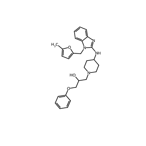 Cc1ccc(Cn2c(NC3CCN(CC(O)COc4ccccc4)CC3)nc3ccccc32)o1